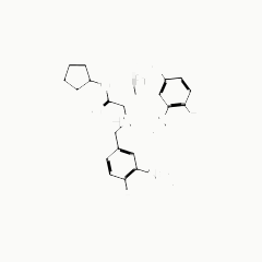 CC(C)C[C@H](NCc1ccc(F)c([N+](=O)[O-])c1)C(=O)OC1CCCC1.O=Cc1ccc(F)c([N+](=O)[O-])c1